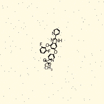 CCS(=O)(=O)c1ccc(Oc2cc(Oc3c(F)cccc3F)c3nc(-c4ccccn4)[nH]c3c2)cn1